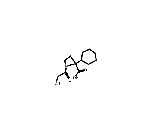 O=C(CO)N1CCC1(C(=O)O)C1CCCCC1